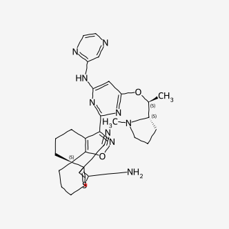 C[C@H](Oc1cc(Nc2cnccn2)nc(-c2noc3c2CCC[C@@]32CCCc3sc(N)c(C#N)c32)n1)[C@@H]1CCCN1C